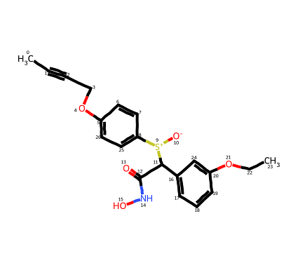 CC#CCOc1ccc([S+]([O-])C(C(=O)NO)c2cccc(OCC)c2)cc1